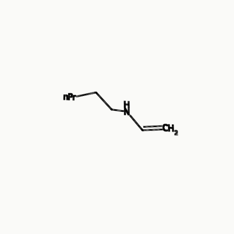 C=CNCCCCC